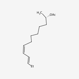 CCC=C/C=C\CCCCC[C@H](C)OC(C)=O